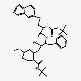 COC1CCC(C(=O)NC(C)(C)C)C(CC(O)C(Cc2ccccc2)NC(=O)C(CSc2ccc3ccccc3c2)NC(=O)OC(C)(C)C)C1